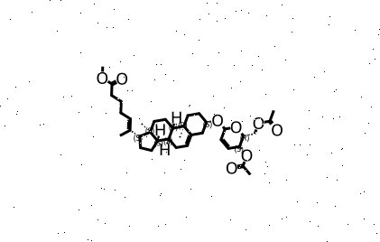 COC(=O)CCCC=C(C)[C@H]1CC[C@H]2[C@@H]3CC=C4C[C@@H](OC5C=C[C@H](OC(C)=O)[C@@H](COC(C)=O)O5)CC[C@]4(C)[C@H]3CC[C@]12C